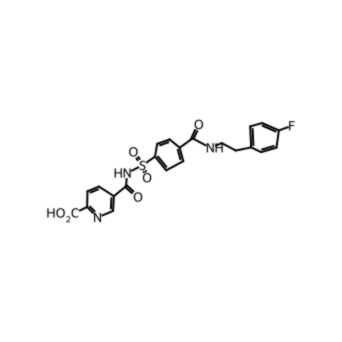 O=C(NCCc1ccc(F)cc1)c1ccc(S(=O)(=O)NC(=O)c2ccc(C(=O)O)nc2)cc1